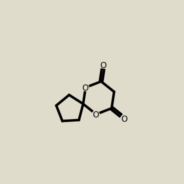 O=C1CC(=O)OC2(CCCC2)O1